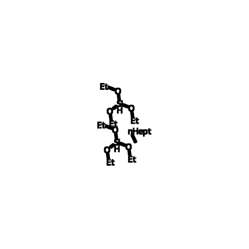 CCCCCCCC.CCO[SiH](OCC)OCC.CCO[SiH](OCC)OCC